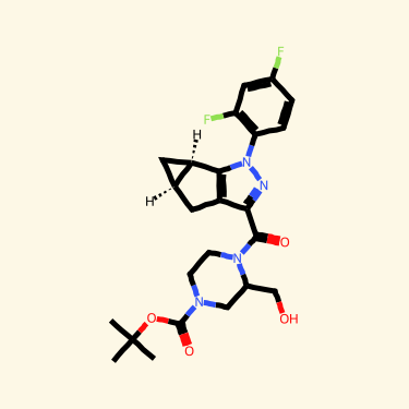 CC(C)(C)OC(=O)N1CCN(C(=O)c2nn(-c3ccc(F)cc3F)c3c2C[C@H]2C[C@@H]32)C(CO)C1